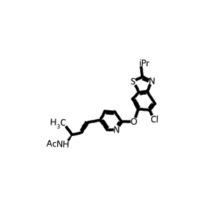 CC(=O)N[C@@H](C)/C=C/c1ccc(Oc2cc3sc(C(C)C)nc3cc2Cl)nc1